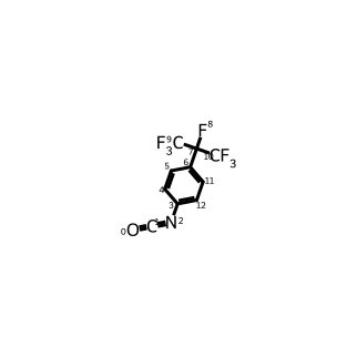 O=C=Nc1ccc(C(F)(C(F)(F)F)C(F)(F)F)cc1